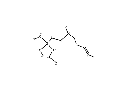 CC=COCC(C)CC[Si](OC)(OC)OCC